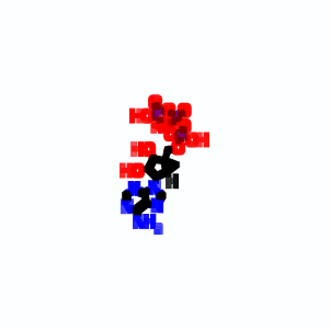 Nc1ncnc2c1ncn2[C@@H]1[C@H]2C[C@@]2(COP(=O)(O)OP(=O)(O)OP(=O)(O)O)C(O)[C@@H]1O